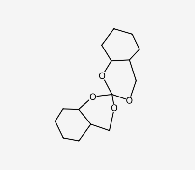 C1CCC2OC3(OCC2C1)OCC1CCCCC1O3